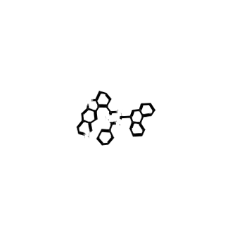 c1ccc(-c2nc(-c3cc4ccccc4c4ccccc34)nc(-c3cccc4oc5cc6ccncc6cc5c34)n2)cc1